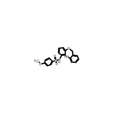 COc1ccc(S(=O)(=O)Nc2cccc3c2Nc2ccccc2CO3)cc1